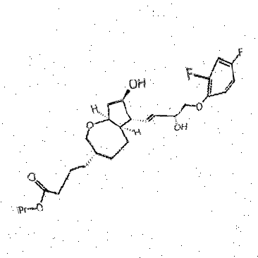 CC(C)OC(=O)CCC[C@H]1CC[C@@H]2[C@@H](C=C[C@@H](O)COc3ccc(F)cc3F)[C@H](O)C[C@@H]2OC1